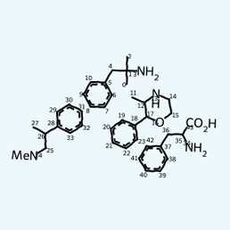 CC(C)(N)Cc1ccccc1.CC1NCCOC1c1ccccc1.CNCC(C)c1ccccc1.NC(Cc1ccccc1)C(=O)O